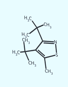 Cc1snc(C(C)(C)C)c1C(C)(C)C